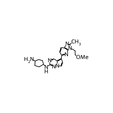 COCCn1c(C)nc2ccc(-c3ccn4nc(NC5CCC(N)CC5)ncc34)nc21